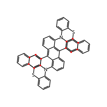 C1=CC2=C(CC1)Sc1ccccc1N2c1cccc2c(-c3ccc4ccccc4c3)c3c(N4c5ccccc5Sc5ccccc54)cccc3c(-c3ccc4ccccc4c3)c12